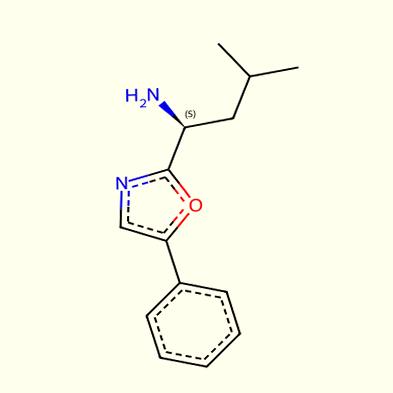 CC(C)C[C@H](N)c1ncc(-c2ccccc2)o1